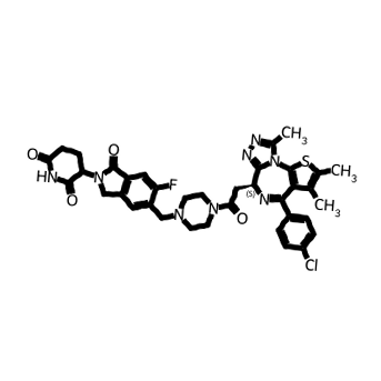 Cc1sc2c(c1C)C(c1ccc(Cl)cc1)=N[C@@H](CC(=O)N1CCN(Cc3cc4c(cc3F)C(=O)N(C3CCC(=O)NC3=O)C4)CC1)c1nnc(C)n1-2